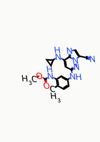 COC(=O)Nc1cc(Nc2cc(NC3CC3)c3ncc(C#N)n3n2)ccc1C